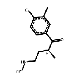 CCCNCC[C@H](C)C(=O)c1ccc(Cl)c(C)c1